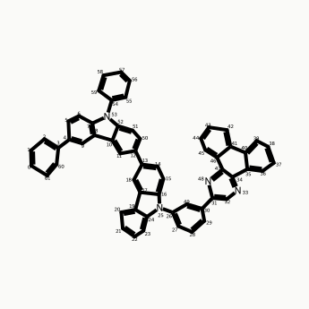 c1ccc(-c2ccc3c(c2)c2cc(-c4ccc5c(c4)c4ccccc4n5-c4cccc(-c5cnc6c7ccccc7c7ccccc7c6n5)c4)ccc2n3-c2ccccc2)cc1